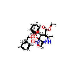 CCOC(=O)C1=C(C)NC(C)C(OC(C)=O)([N+](=O)[O-])C1c1ccccc1OCc1ccccc1